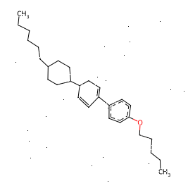 CCCCCCC1CCC(C2C=CC(c3ccc(OCCCCC)cc3)=CC2)CC1